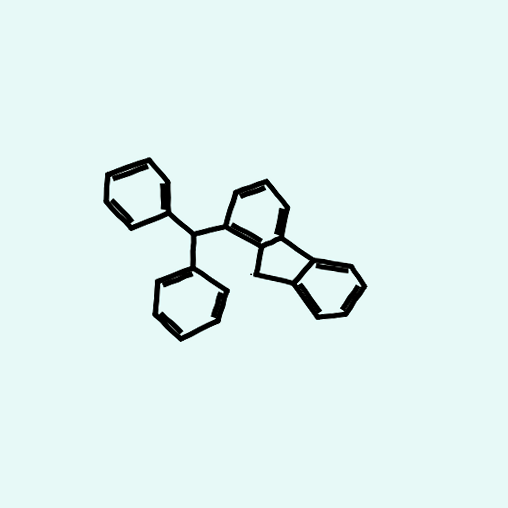 [CH]1c2ccccc2-c2cccc(C(c3ccccc3)c3ccccc3)c21